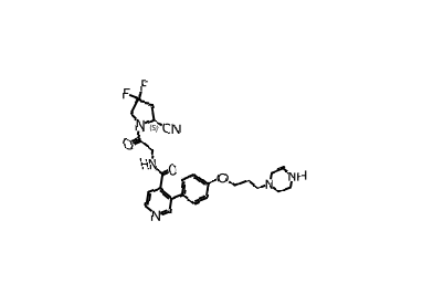 N#C[C@@H]1CC(F)(F)CN1C(=O)CNC(=O)c1ccncc1-c1ccc(OCCCN2CCNCC2)cc1